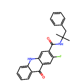 CC(C)(Cc1ccccc1)NC(=O)c1cc2[nH]c3ccccc3c(=O)c2cc1F